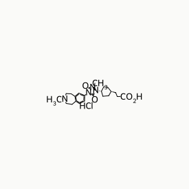 CN1CCc2ccc(-n3c(=O)n(C)n([C@H]4CC[C@H](CCC(=O)O)CC4)c3=O)cc2CC1.Cl